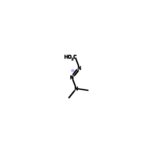 CN(C)/N=N/C(=O)O